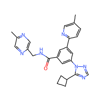 Cc1ccc(-c2cc(C(=O)NCc3cnc(C)cn3)cc(-n3ncnc3C3CCC3)c2)nc1